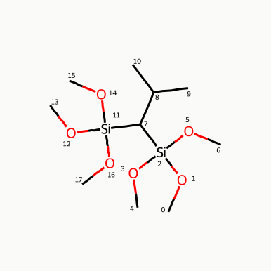 CO[Si](OC)(OC)C(C(C)C)[Si](OC)(OC)OC